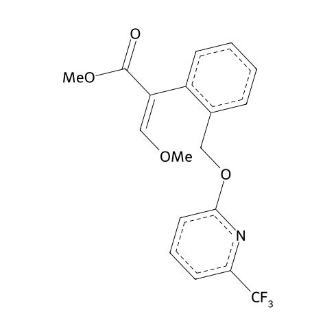 CO/C=C(/C(=O)OC)c1ccccc1COc1cccc(C(F)(F)F)n1